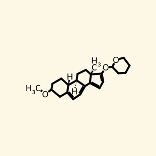 COC1CC[C@H]2C(=CC=C3C4=CC=C(OC5CCCCO5)[C@@]4(C)CC[C@@H]32)C1